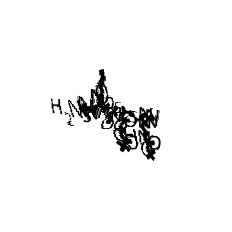 C=CCO/N=C(\C(=O)NC1C(=O)N2C(C(=O)OCOC(=O)C(C)(C)C)=C(CSc3nnnn3CCNC(=O)OC(C)(C)C)CS[C@@H]12)c1nsc(N)n1